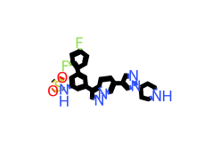 CS(=O)(=O)Nc1cc(-c2ccc(F)cc2F)cc(-c2cnn3cc(-c4cnn(C5CCNCC5)c4)ccc23)c1